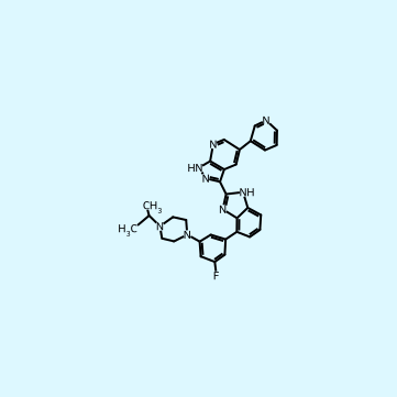 CC(C)N1CCN(c2cc(F)cc(-c3cccc4[nH]c(-c5n[nH]c6ncc(-c7cccnc7)cc56)nc34)c2)CC1